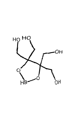 OCC1(CO)OBOC1(CO)CO